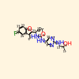 Cc1c(C(NC(=O)Nc2cnc(NC[C@H](C)O)nc2)C(C)C)oc2ccc(F)cc12